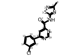 Cc1nsc(NC(=O)c2cc(-c3cccc(Cl)c3)ncn2)n1